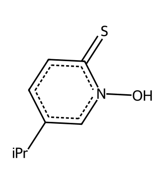 CC(C)c1ccc(=S)n(O)c1